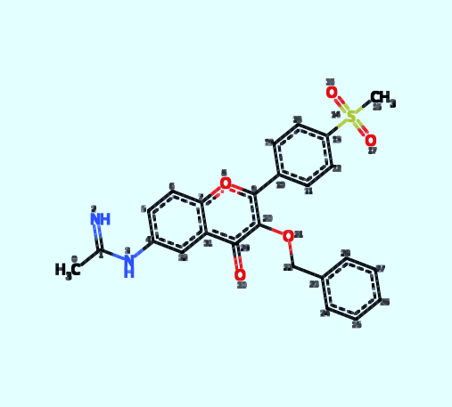 CC(=N)Nc1ccc2oc(-c3ccc(S(C)(=O)=O)cc3)c(OCc3ccccc3)c(=O)c2c1